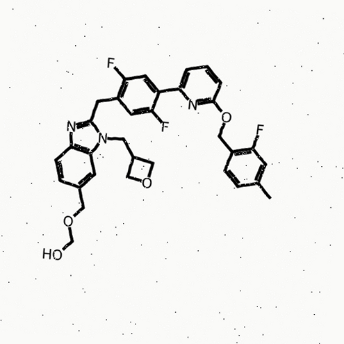 Cc1ccc(COc2cccc(-c3cc(F)c(Cc4nc5ccc(COCO)cc5n4CC4COC4)cc3F)n2)c(F)c1